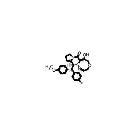 COc1ccc([C@@H](c2ccc(F)cc2)[C@H]2[C@H]3CCCN3C(=O)/C3=C(\O)COC/C=N\N32)cc1